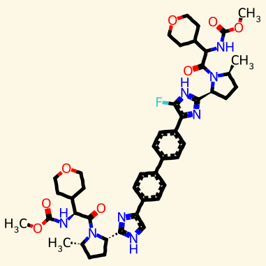 COC(=O)NC(C(=O)N1[C@@H](C)CC[C@H]1c1nc(-c2ccc(-c3ccc(-c4c[nH]c([C@@H]5CC[C@H](C)N5C(=O)[C@@H](NC(=O)OC)C5CCOCC5)n4)cc3)cc2)c(F)[nH]1)C1CCOCC1